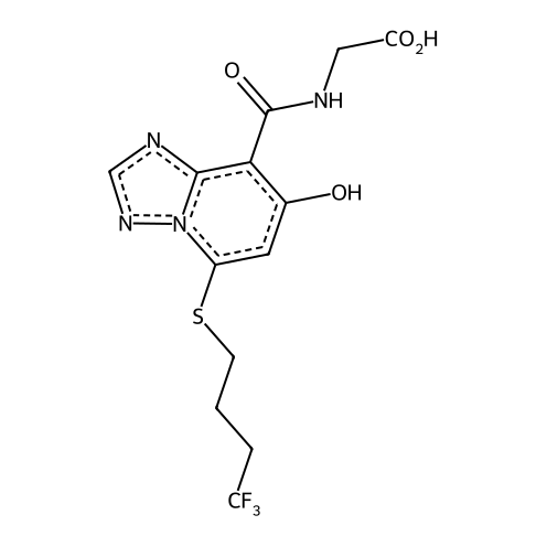 O=C(O)CNC(=O)c1c(O)cc(SCCCC(F)(F)F)n2ncnc12